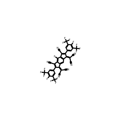 N#CC(C#N)=C1C(c2cc(C(F)(F)F)c(F)c(C(F)(F)F)c2)=C(C#N)c2c1cc1c(c2F)C(C#N)=C(c2cc(C(F)(F)F)c(F)c(C(F)(F)F)c2)C1=C(C#N)C#N